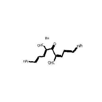 CCCC=CC=C(C=O)C(=O)C(C=O)=CC=CCCC.[Ru]